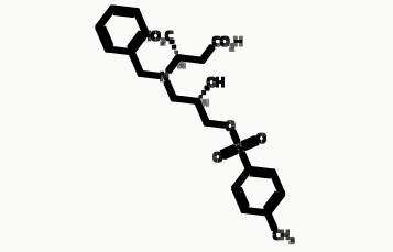 Cc1ccc(S(=O)(=O)OC[C@@H](O)CN(Cc2ccccc2)[C@@H](CC(=O)O)C(=O)O)cc1